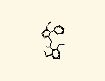 CCc1cccc(CC)c1NCc1nnc(SC)n1-c1ccccc1